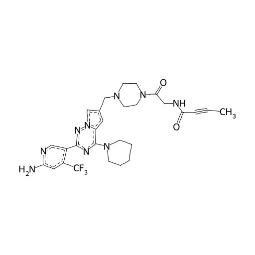 CC#CC(=O)NCC(=O)N1CCN(Cc2cc3c(N4CCCCC4)nc(-c4cnc(N)cc4C(F)(F)F)nn3c2)CC1